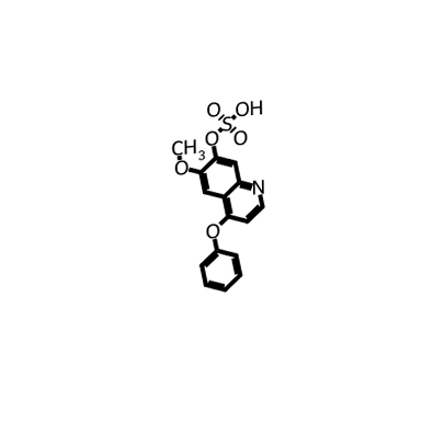 COc1cc2c(Oc3ccccc3)ccnc2cc1OS(=O)(=O)O